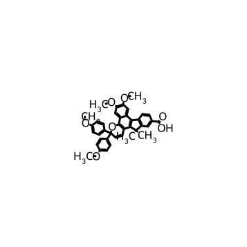 COc1ccc(C2(c3ccc(OC)cc3)C=Cc3c4c(c5cc(OC)c(OC)cc5c3O2)-c2ccc(C(=O)O)cc2C4(C)C)cc1